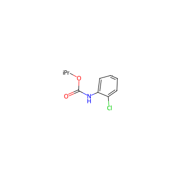 CC(C)OC(=O)Nc1c[c]ccc1Cl